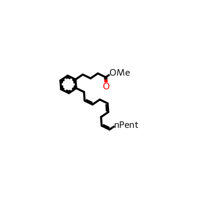 CCCCC/C=C\C/C=C\C/C=C\Cc1ccccc1CCCC(=O)OC